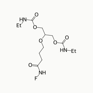 CCNC(=O)OCC(COC(=O)NCC)OCCCC(=O)NF